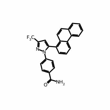 NC(=O)c1ccc(-n2nc(C(F)(F)F)cc2-c2cccc3c2ccc2ccccc23)cc1